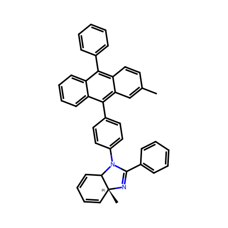 Cc1ccc2c(-c3ccccc3)c3ccccc3c(-c3ccc(N4C(c5ccccc5)=N[C@]5(C)C=CC=CC45)cc3)c2c1